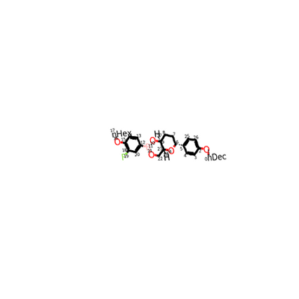 CCCCCCCCCCOc1ccc([C@H]2CC[C@@H]3OB(c4ccc(OCCCCCC)c(F)c4)OC[C@H]3O2)cc1